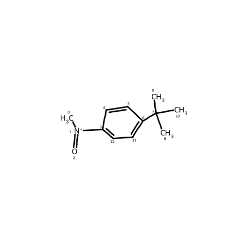 C[N+](=O)c1ccc(C(C)(C)C)cc1